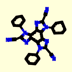 N#Cc1nc2c(c3nc(C#N)n(-c4ccccc4)c3c3nc(C#N)n(-c4ccccc4)c23)n1-c1ccccc1